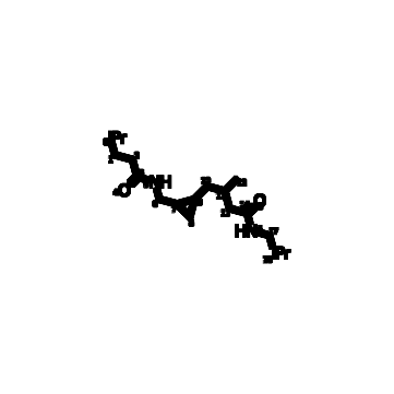 CC(C)CCC(=O)NCC1CC1CC(C)CC(=O)NCC(C)C